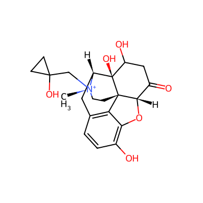 C[N@+]1(CC2(O)CC2)CC[C@]23c4c5ccc(O)c4O[C@H]2C(=O)CC(O)[C@@]3(O)[C@H]1C5